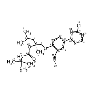 CC(C)C[C@@](C)(COc1ccc(-c2ccnc(Cl)n2)cc1C#N)OC(=O)NC(C)(C)C